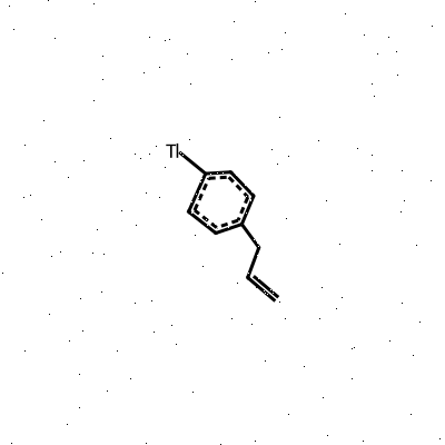 C=CCc1cc[c]([Tl])cc1